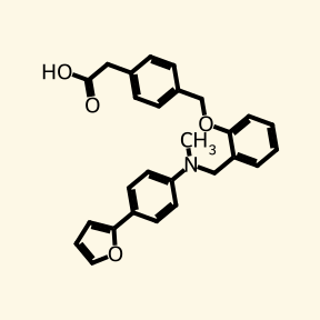 CN(Cc1ccccc1OCc1ccc(CC(=O)O)cc1)c1ccc(-c2ccco2)cc1